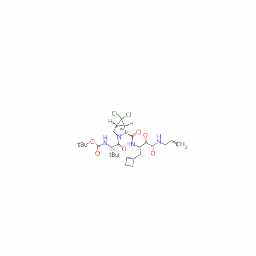 C=CCNC(=O)C(=O)C(CC1CCC1)NC(=O)[C@@H]1[C@@H]2[C@H](CN1C(=O)[C@@H](NC(=O)OC(C)(C)C)C(C)(C)C)C2(Cl)Cl